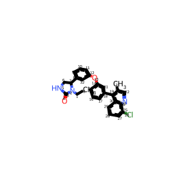 CCN1C(=O)NCC1c1cccc(Oc2cccc(-c3c(C)cnc4c(Cl)cccc34)c2)c1